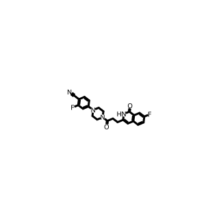 N#Cc1ccc(N2CCN(C(=O)CCc3cc4ccc(F)cc4c(=O)[nH]3)CC2)cc1F